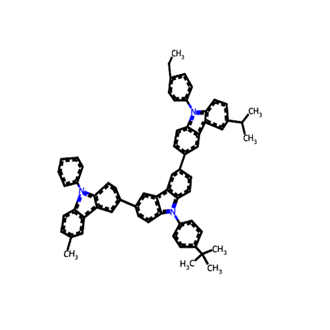 CCc1ccc(-n2c3ccc(-c4ccc5c(c4)c4cc(-c6ccc7c(c6)c6cc(C)ccc6n7-c6ccccc6)ccc4n5-c4ccc(C(C)(C)C)cc4)cc3c3cc(C(C)C)ccc32)cc1